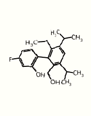 CCc1c(C(C)C)cc(C(C)C)c(CO)c1-c1ccc(F)cc1O